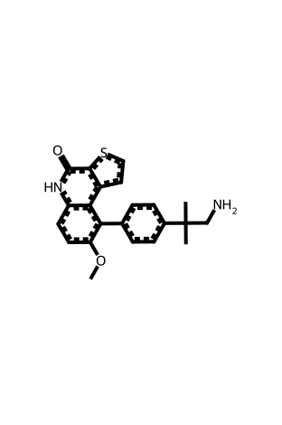 COc1ccc2[nH]c(=O)c3sccc3c2c1-c1ccc(C(C)(C)CN)cc1